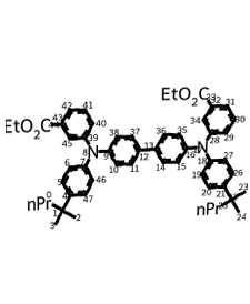 CCCC(C)(C)c1ccc(N(c2ccc(-c3ccc(N(c4ccc(C(C)(C)CCC)cc4)c4cccc(C(=O)OCC)c4)cc3)cc2)c2cccc(C(=O)OCC)c2)cc1